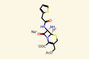 CC(=O)OCC1=C(C(=O)[O-])N2C(=O)[C@@](N)(NC(=O)Cc3cccs3)[C@H]2SC1.[Na+]